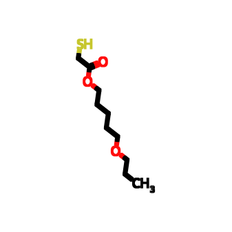 CCCOCCCCCOC(=O)CS